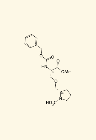 COC(=O)[C@H](COC[C@@H]1CCCN1C(=O)O)NC(=O)OCc1ccccc1